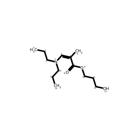 CCCN(C=C(C)C(=O)OCCCO)CCC